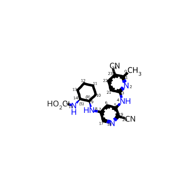 Cc1nc(Nc2cc(N[C@@H]3CCCC[C@@H]3NC(=O)O)cnc2C#N)ccc1C#N